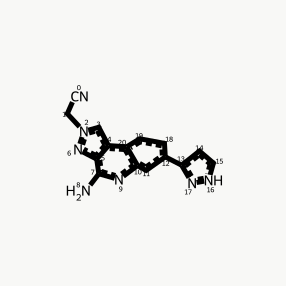 N#CCn1cc2c(n1)c(N)nc1cc(-c3cc[nH]n3)ccc12